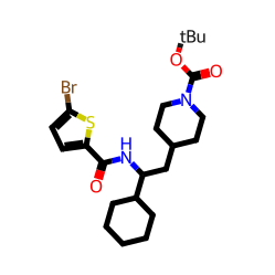 CC(C)(C)OC(=O)N1CCC(CC(NC(=O)c2ccc(Br)s2)C2CCCCC2)CC1